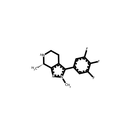 C[C@@H]1NCCc2c1nn(C)c2-c1cc(F)c(F)c(F)c1